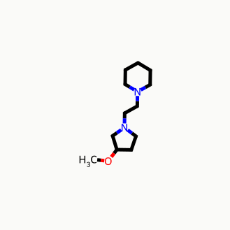 COC1CCN(CCN2CCCCC2)C1